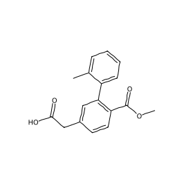 COC(=O)c1ccc(CC(=O)O)cc1-c1ccccc1C